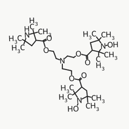 CC1(C)CC(C(=O)OCCN(CCOC(=O)C2CC(C)(C)N(O)C2(C)C)CCOC(=O)C2CC(C)(C)N(O)C2(C)C)C(C)(C)N1